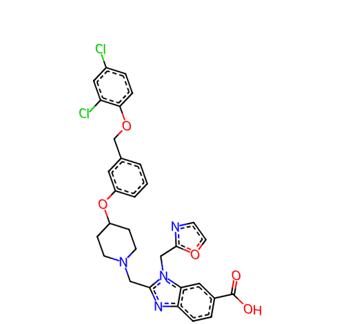 O=C(O)c1ccc2nc(CN3CCC(Oc4cccc(COc5ccc(Cl)cc5Cl)c4)CC3)n(Cc3ncco3)c2c1